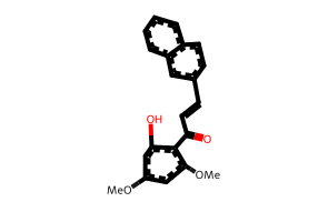 COc1cc(O)c(C(=O)C=Cc2ccc3ccccc3c2)c(OC)c1